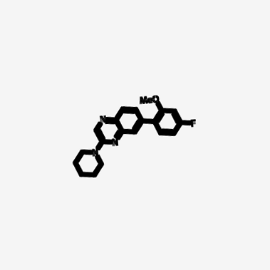 COc1cc(F)ccc1-c1ccc2ncc(N3CCCCC3)nc2c1